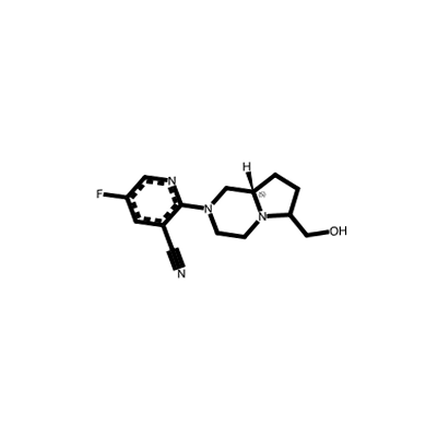 N#Cc1cc(F)cnc1N1CCN2C(CO)CC[C@H]2C1